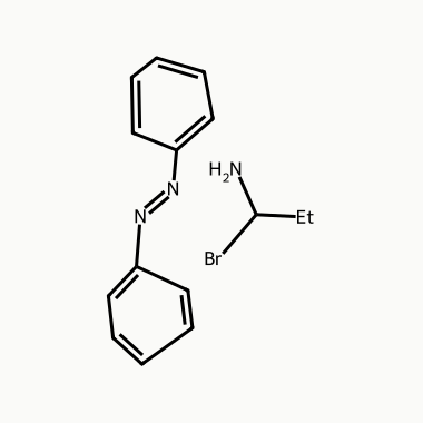 CCC(N)Br.c1ccc(N=Nc2ccccc2)cc1